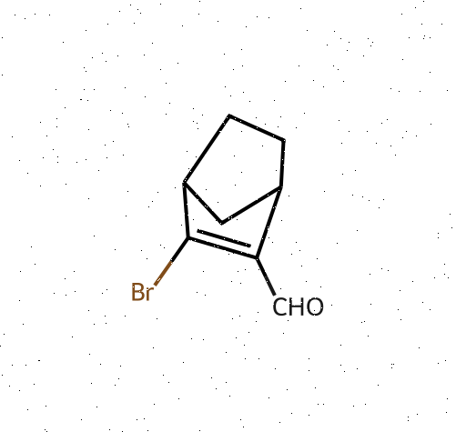 O=CC1=C(Br)C2CCC1C2